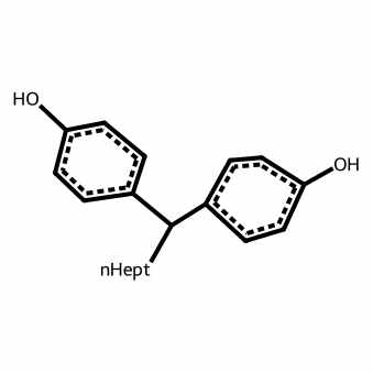 CCCCCCCC(c1ccc(O)cc1)c1ccc(O)cc1